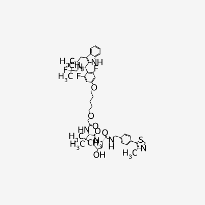 Cc1ncsc1-c1ccc(CNC(=O)[C@@H]2C[C@@H](O)CN2C(=O)[C@@H](NC(=O)COCCCCCOc2cc(F)c([C@@H]3c4[nH]c5ccccc5c4C[C@@H](C)N3CC(C)(C)F)c(F)c2)C(C)(C)C)cc1